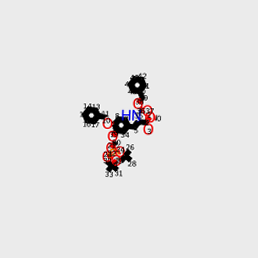 COC(=O)/C(=C/c1ccc(OCc2ccccc2)c(OCOP(=O)(OC(C)(C)C)OC(C)(C)C)c1)NC(=O)OCc1ccccc1